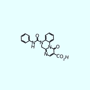 O=C(O)c1cnc2n(c1=O)-c1ccccc1N(C(=O)Nc1ccccc1)C2